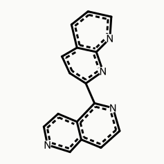 c1cnc2nc(-c3nccc4cnccc34)ccc2c1